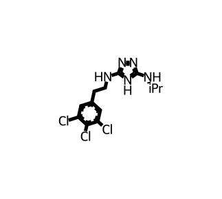 CC(C)Nc1nnc(NCCc2cc(Cl)c(Cl)c(Cl)c2)[nH]1